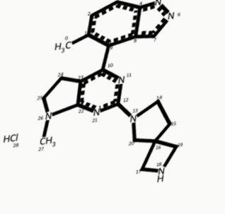 Cc1ccc2[nH]ncc2c1-c1nc(N2CCC3(CNC3)C2)nc2c1CCN2C.Cl